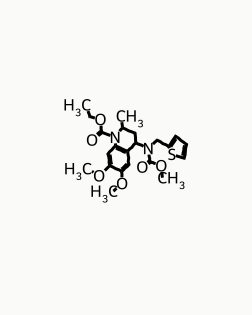 CCOC(=O)N1c2cc(OC)c(OC)cc2C(N(Cc2cccs2)C(=O)OC)CC1C